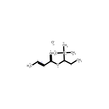 C/C=C/C(=O)OC(CC)[N+](C)(C)C.[Cl-]